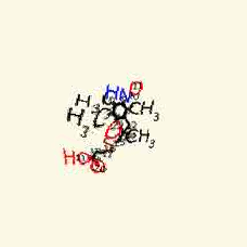 Cc1c(C)c2c(c(C)c1NC=O)CC(C)(CSCCC(=O)O)O2